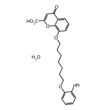 CCCc1ccccc1OCCCCCCCOc1cccc2c(=O)cc(C(=O)O)oc12.O